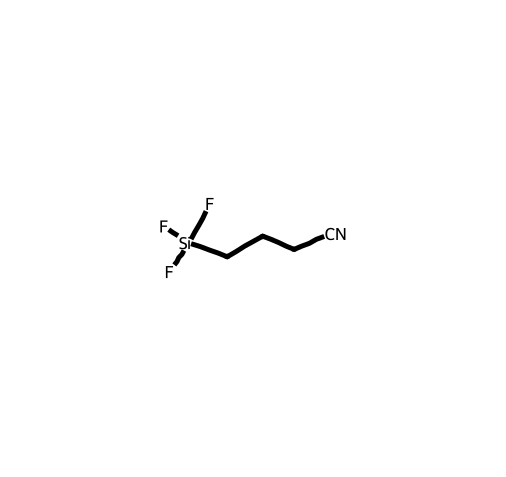 N#CCCC[Si](F)(F)F